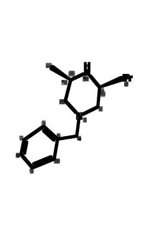 CC(C)[C@H]1CN(Cc2ccccc2)C[C@@H](C)N1